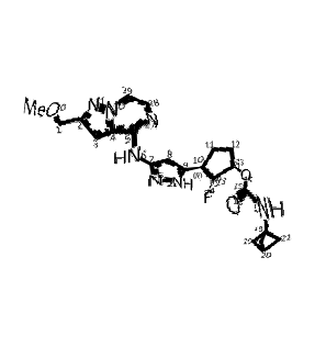 COCc1cc2c(Nc3cc([C@H]4CC[C@@H](OC(=O)NC56CC(C5)C6)[C@@H]4F)[nH]n3)nccn2n1